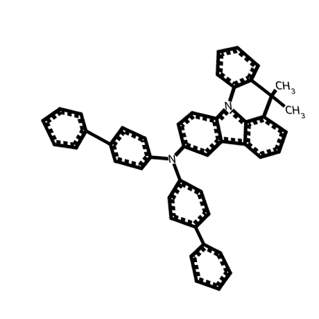 CC1(C)c2ccccc2-n2c3ccc(N(c4ccc(-c5ccccc5)cc4)c4ccc(-c5ccccc5)cc4)cc3c3cccc1c32